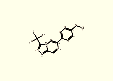 FC(F)(F)c1nnc2cnc(-c3ccc(CCl)cc3)cn12